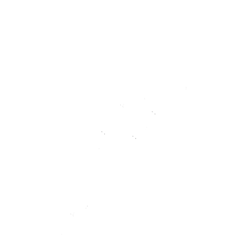 CNC(=O)c1ccc(Nc2nc(=O)n(C(C)C)c(=O)n2Cc2ccc(Cl)cc2)cc1